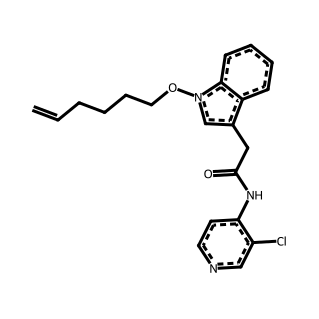 C=CCCCCOn1cc(CC(=O)Nc2ccncc2Cl)c2ccccc21